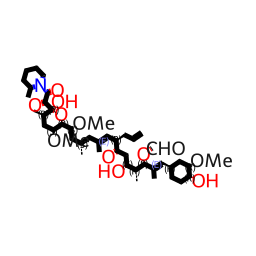 C=CC[C@H](/C=C(\C)C[C@H](C)C[C@H](OC)[C@H]1O[C@@](O)(C(=O)C(=O)N2CCCCC2C)[C@H](C)C[C@@H]1OC)C(=O)C[C@H](O)[C@@H](C)[C@H](OC=O)/C(C)=C/[C@@H]1CC[C@@H](O)[C@H](OC)C1